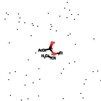 CC#N.CCOC(=O)OC(C)=O